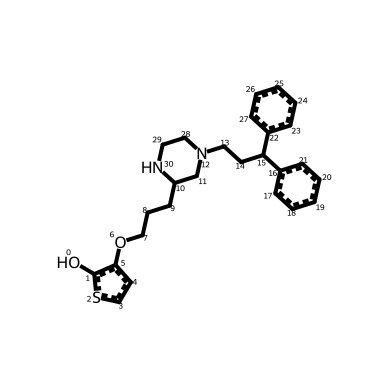 Oc1sccc1OCCCC1CN(CCC(c2ccccc2)c2ccccc2)CCN1